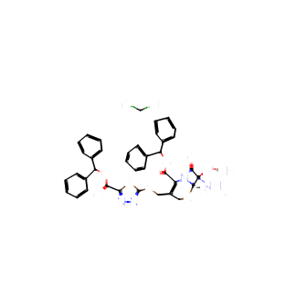 CO[C@@]1(N)C(=O)N2C(C(=O)OC(c3ccccc3)c3ccccc3)=C(CSc3nnc(C(=O)OC(c4ccccc4)c4ccccc4)s3)CS[C@H]21.ClCCl